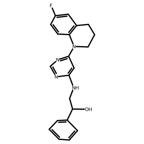 OC(CNc1cc(N2CCCc3cc(F)ccc32)ncn1)c1ccccc1